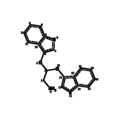 NCC(Oc1csc2ccccc12)Oc1csc2ccccc12